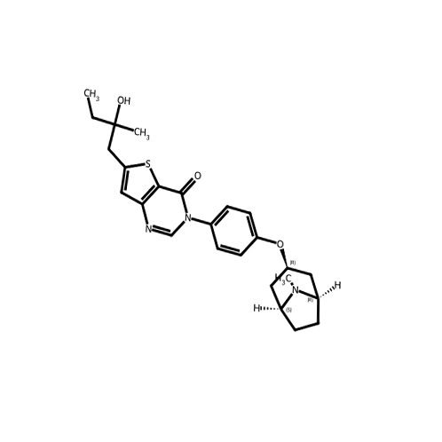 CCC(C)(O)Cc1cc2ncn(-c3ccc(O[C@H]4C[C@H]5CC[C@@H](C4)N5C)cc3)c(=O)c2s1